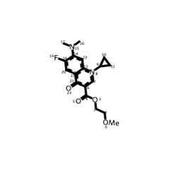 COCCOC(=O)c1cn(C2CC2)c2cc(N(C)C)c(F)cc2c1=O